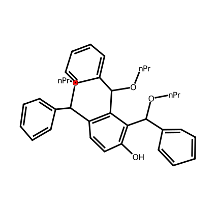 CCCOC(c1ccccc1)c1ccc(O)c(C(OCCC)c2ccccc2)c1C(OCCC)c1ccccc1